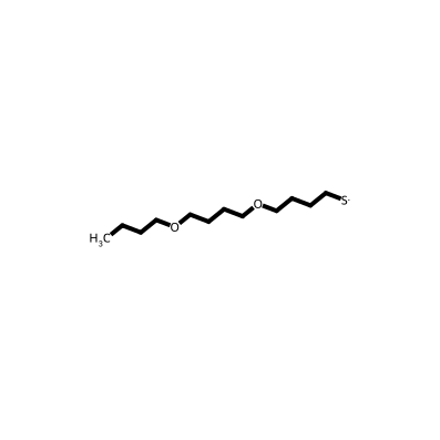 CCCCOCCCCOCCCC[S]